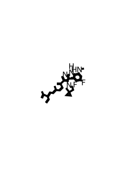 C=C\C(=C/C=C(C)/C=C\C(=C)c1cnc2[nH]c3c(NC)cc(F)c(F)c3c2c1N1CCC2(CC2)C1)C(=C)C